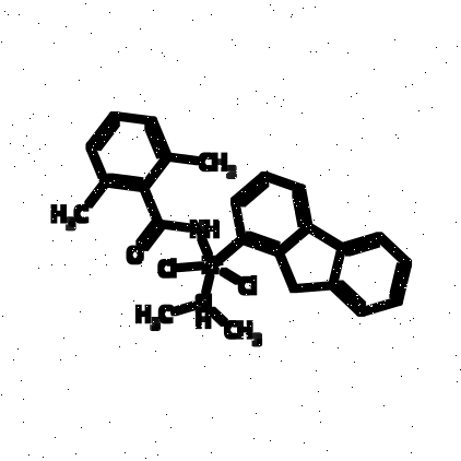 Cc1cccc(C)c1C(=O)[NH][Zr]([Cl])([Cl])([c]1cccc2c1Cc1ccccc1-2)[SiH](C)C